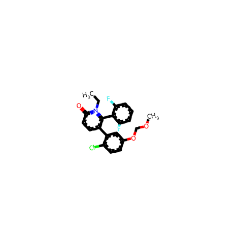 CCn1c(-c2c(F)cccc2F)c(-c2cc(OCOC)ccc2Cl)ccc1=O